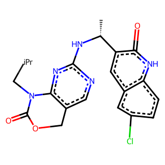 CC(C)CN1C(=O)OCc2cnc(N[C@H](C)c3cc4cc(Cl)ccc4[nH]c3=O)nc21